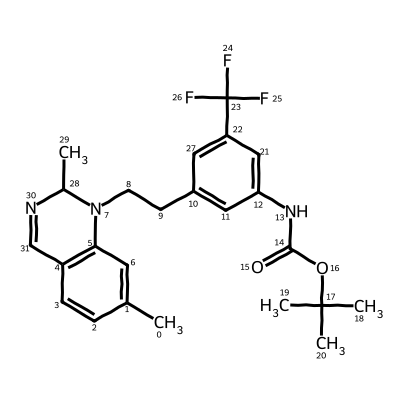 Cc1ccc2c(c1)N(CCc1cc(NC(=O)OC(C)(C)C)cc(C(F)(F)F)c1)C(C)N=C2